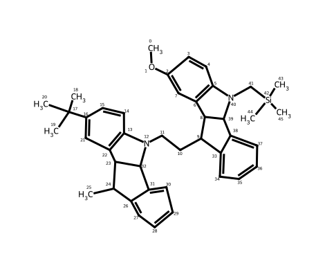 COc1ccc2c(c1)C1C(CCN3c4ccc(C(C)(C)C)cc4C4C(C)c5ccccc5C43)c3ccccc3C1N2C[Si](C)(C)C